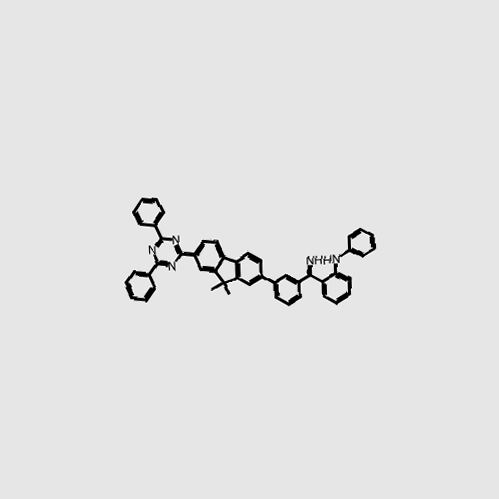 CC1(C)c2cc(-c3cccc(C(=N)c4ccccc4Nc4ccccc4)c3)ccc2-c2ccc(-c3nc(-c4ccccc4)nc(-c4ccccc4)n3)cc21